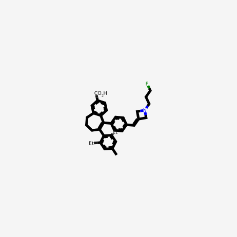 CCc1cc(C)cc(CC)c1C1=C(c2ccc(C=C3CN(CCCF)C3)cc2)c2ccc(C(=O)O)cc2CCC1